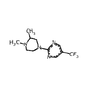 CC1CN(c2ncc(C(F)(F)F)cn2)CCN1C